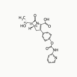 C[C@@H](O)[C@H]1C(=O)N2C(C(=O)O)=C(c3ccc(OC(=O)Nc4ccccn4)cc3)C[C@H]12